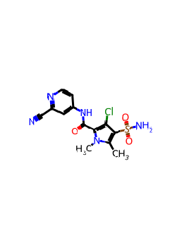 Cc1c(S(N)(=O)=O)c(Cl)c(C(=O)Nc2ccnc(C#N)c2)n1C